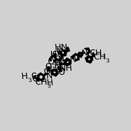 COC1(C)CCC(CNc2ccc(S(=O)(=O)NC(=O)c3ccc(N4CCC5(CC4)CC(N4CCC[C@H]4c4ccccc4C(C)C)C5)cc3N3C[C@@H]4COCC[C@@H]4Oc4nc5[nH]ccc5cc43)cc2[N+](=O)[O-])CC1